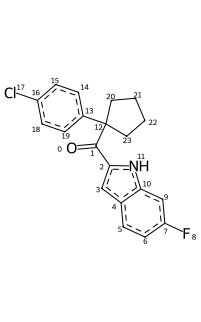 O=C(c1cc2ccc(F)cc2[nH]1)C1(c2ccc(Cl)cc2)CCCC1